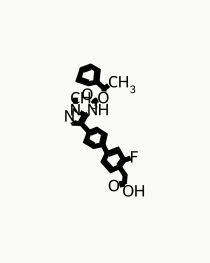 CC(OC(=O)Nc1c(-c2ccc(-c3ccc(CC(=O)O)c(F)c3)cc2)cnn1C)c1ccccc1